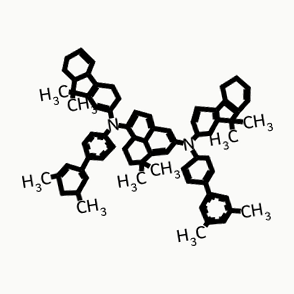 CC1=CC(c2ccc(N(C3=CC4=C(CC3)C3C=CCCC3C4(C)C)C3=CC=C4C=C(N(C5C=CC(c6cc(C)cc(C)c6)=CC5)C5C=CC6=C(C5)C(C)(C)C5=C6CCC=C5)C=C5C4C3CCC5(C)C)cc2)=CC(C)C1